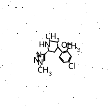 Cc1cc(Cl)ccc1[C@@]1(O)C[C@@H](c2cn(C)nn2)N[C@@H](C)C1